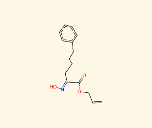 C=CCOC(=O)/C(CCCCc1ccccc1)=N/O